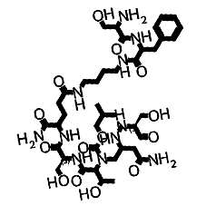 CC(C)COC(=O)N(CC(CC(N)=O)NN[C@H](C=O)CO)C(C(=O)N[C@@H](CO)C(=O)NC(CCC(=O)NCCCCNC(=O)C(Cc1ccccc1)NC(=O)C(N)CO)C(N)=O)C(C)O